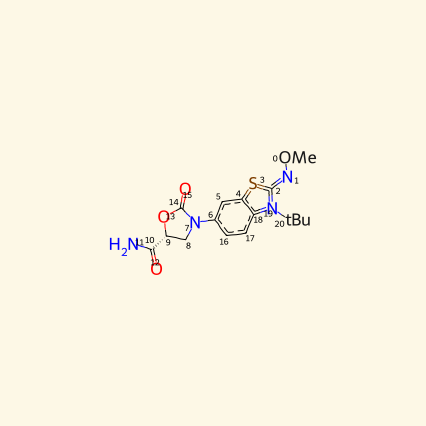 CO/N=c1\sc2cc(N3C[C@H](C(N)=O)OC3=O)ccc2n1C(C)(C)C